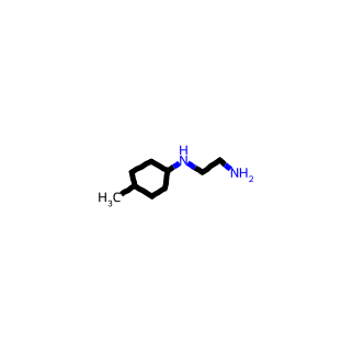 CC1CCC(NCCN)CC1